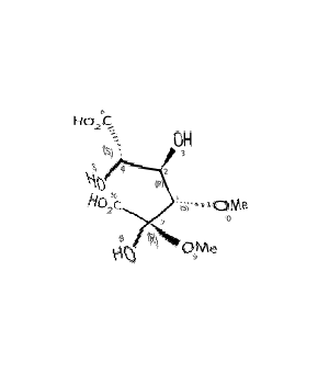 CO[C@@H]([C@H](O)[C@H](O)C(=O)O)[C@@](O)(OC)C(=O)O